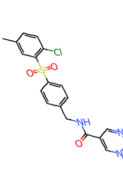 Cc1ccc(Cl)c(S(=O)(=O)c2ccc(CNC(=O)c3cnc4nccn4c3)cc2)c1